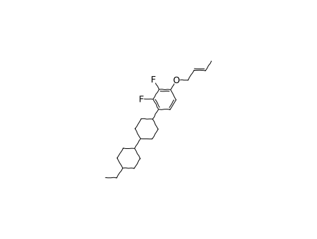 C/C=C/COc1ccc(C2CCC(C3CCC(CC)CC3)CC2)c(F)c1F